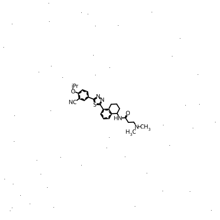 CC(C)Oc1ccc(-c2nnc(-c3cccc4c3CCCC4NC(=O)CCN(C)C)s2)cc1C#N